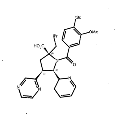 COc1cc(C(=O)N2[C@@H](C3CC=CC=N3)[C@@H](c3cnccn3)C[C@@]2(CC(C)C)C(=O)O)ccc1C(C)(C)C